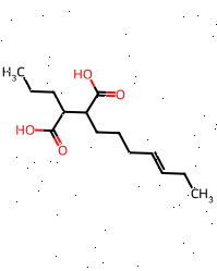 CC/C=C/CCCC(C(=O)O)C(CCC)C(=O)O